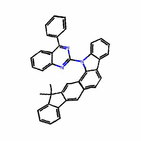 CC1(C)c2ccccc2-c2cc3ccc4c5ccccc5n(-c5nc(-c6ccccc6)c6ccccc6n5)c4c3cc21